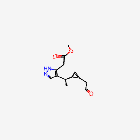 COC(=O)Cc1[nH]ncc1[C@H](C)C1C=C1CC=O